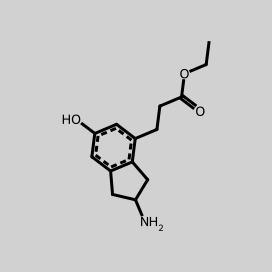 CCOC(=O)CCc1cc(O)cc2c1CC(N)C2